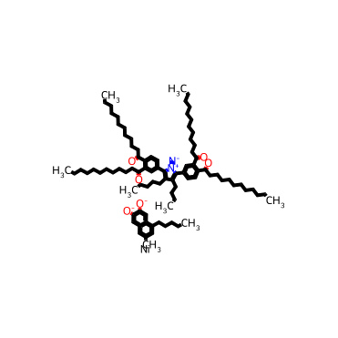 CCCCCCCCCCCC(=O)c1ccc(C2=C(CCCC)C(CCCCC)=C(c3ccc(C(=O)CCCCCCCCCCC)c(C(=O)CCCCCCCCCCC)c3)[N+]2=[N-])cc1C(=O)CCCCCCCCCCC.CCCCCc1cc(C)cc2cc([O-])c([O-])cc12.[Ni]